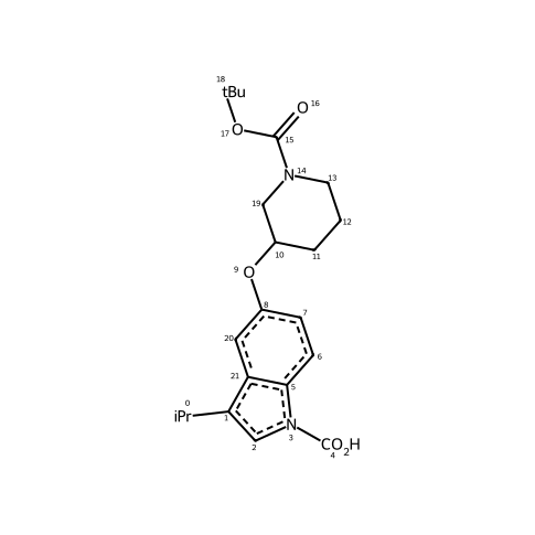 CC(C)c1cn(C(=O)O)c2ccc(OC3CCCN(C(=O)OC(C)(C)C)C3)cc12